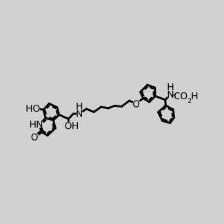 O=C(O)NC(c1ccccc1)c1cccc(OCCCCCCCNCC(O)c2ccc(O)c3[nH]c(=O)ccc23)c1